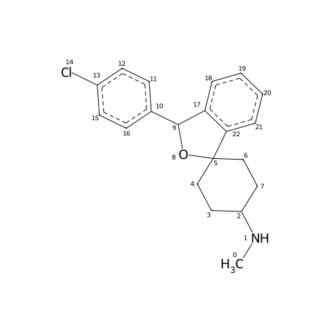 CNC1CCC2(CC1)OC(c1ccc(Cl)cc1)c1ccccc12